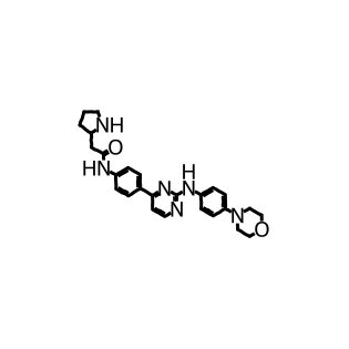 O=C(CC1CCCN1)Nc1ccc(-c2ccnc(Nc3ccc(N4CCOCC4)cc3)n2)cc1